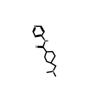 CN(C)CC1CCC(C(=O)Nc2ccncc2)CC1